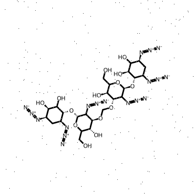 [N-]=[N+]=NC1C[C@@H](N=[N+]=[N-])[C@@H](O)C(O)[C@@H]1O[C@H]1OC(CO)[C@@H](O)[C@H](OCO[C@H]2C(N=[N+]=[N-])[C@H](O[C@H]3C(N=[N+]=[N-])C[C@H](N=[N+]=[N-])C(O)[C@@H]3O)OC(CO)[C@@H]2O)C1N=[N+]=[N-]